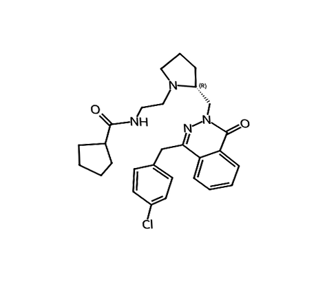 O=C(NCCN1CCC[C@@H]1Cn1nc(Cc2ccc(Cl)cc2)c2ccccc2c1=O)C1CCCC1